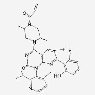 C=CC(=O)N1CC(C)N(c2nc(=O)n(-c3c(C)ccnc3C(C)C)c3nc(-c4c(O)cccc4F)c(F)cc23)CC1C